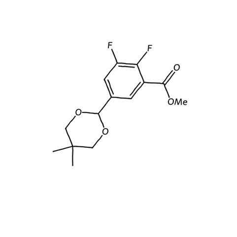 COC(=O)c1cc(C2OCC(C)(C)CO2)cc(F)c1F